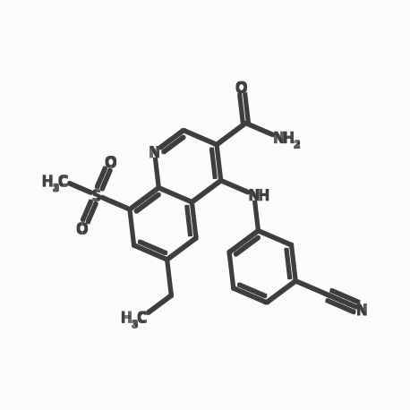 CCc1cc(S(C)(=O)=O)c2ncc(C(N)=O)c(Nc3cccc(C#N)c3)c2c1